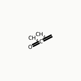 C.C.C=C=O